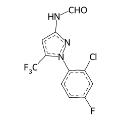 O=CNc1cc(C(F)(F)F)n(-c2ccc(F)cc2Cl)n1